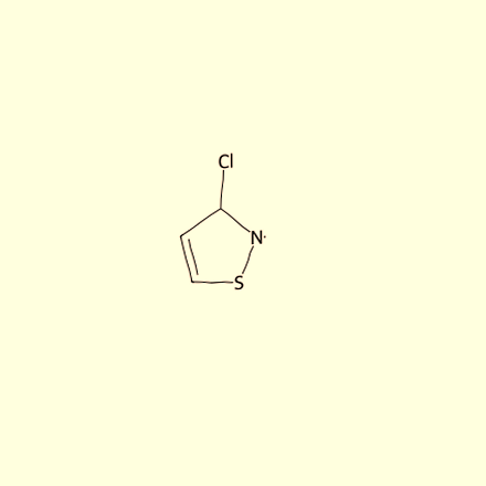 ClC1C=CS[N]1